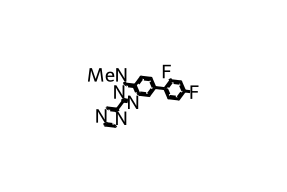 CNc1nc(-c2cnccn2)nc2cc(-c3ccc(F)cc3F)ccc12